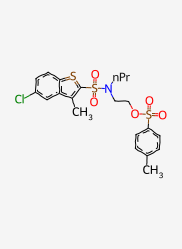 CCCN(CCOS(=O)(=O)c1ccc(C)cc1)S(=O)(=O)c1sc2ccc(Cl)cc2c1C